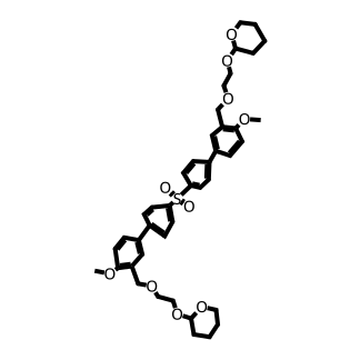 COc1ccc(-c2ccc(S(=O)(=O)c3ccc(-c4ccc(OC)c(COCCOC5CCCCO5)c4)cc3)cc2)cc1COCCOC1CCCCO1